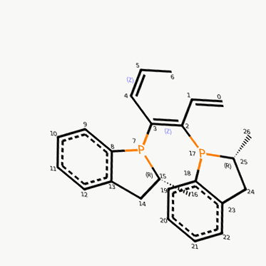 C=C/C(=C(\C=C/C)P1c2ccccc2C[C@H]1C)P1c2ccccc2C[C@H]1C